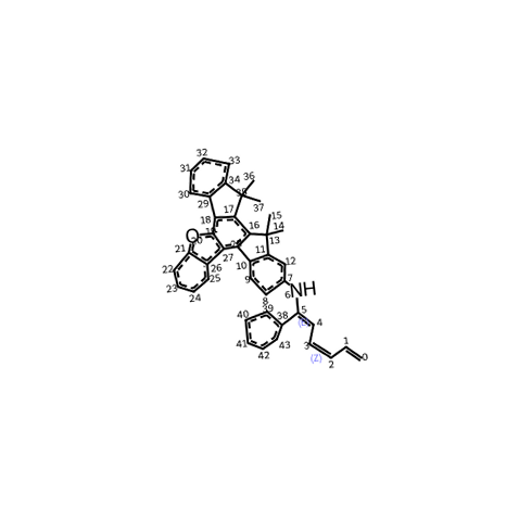 C=C/C=C\C=C(\Nc1ccc2c(c1)C(C)(C)c1c3c(c4oc5ccccc5c4c1-2)-c1ccccc1C3(C)C)c1ccccc1